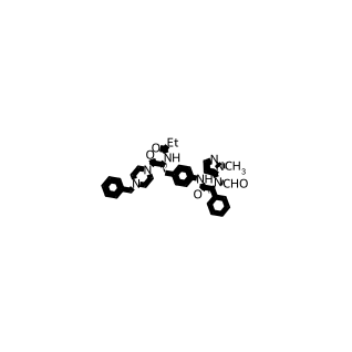 CCC(=O)N[C@H](Cc1ccc(NC(=O)[C@H](C2CCCCC2)N(C=O)c2ccnn2C)cc1)C(=O)N1CCN(Cc2ccccc2)CC1